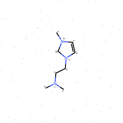 CN(C)CCN1C=CN(C)C1